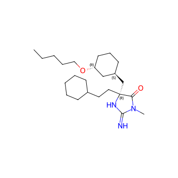 CCCCCO[C@@H]1CCC[C@@H](C[C@@]2(CCC3CCCCC3)NC(=N)N(C)C2=O)C1